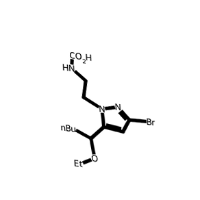 CCCCC(OCC)c1cc(Br)nn1CCNC(=O)O